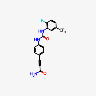 NC(=O)C#Cc1ccc(NC(=O)Nc2cc(C(F)(F)F)ccc2F)cc1